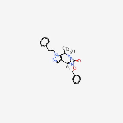 O=C(O)C1c2c(cnn2CCc2ccccc2)[C@H]2CN1C(=O)N2OCc1ccccc1